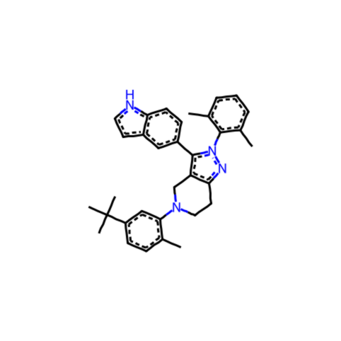 Cc1ccc(C(C)(C)C)cc1N1CCc2nn(-c3c(C)cccc3C)c(-c3ccc4[nH]ccc4c3)c2C1